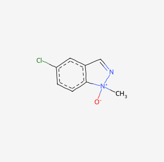 C[N+]1([O-])N=Cc2cc(Cl)ccc21